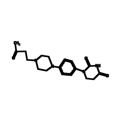 CC(=O)CCN1CCN(c2ccc(N3CCC(=O)NC3=O)cc2)CC1